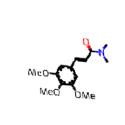 COc1cc(C=CC(=O)N(C)C)cc(OC)c1OC